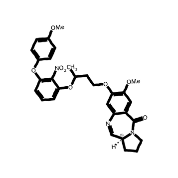 COc1ccc(Oc2cccc(OC(C)CCOc3cc4c(cc3OC)C(=O)N3CCC[C@H]3C=N4)c2[N+](=O)[O-])cc1